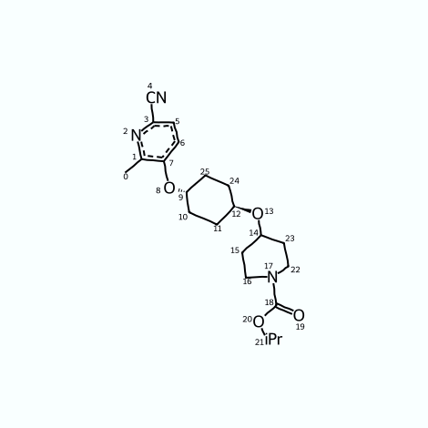 Cc1nc(C#N)ccc1O[C@H]1CC[C@H](OC2CCN(C(=O)OC(C)C)CC2)CC1